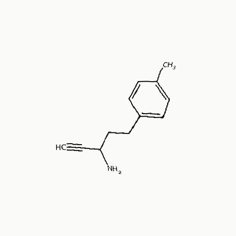 C#CC(N)CCc1ccc(C)cc1